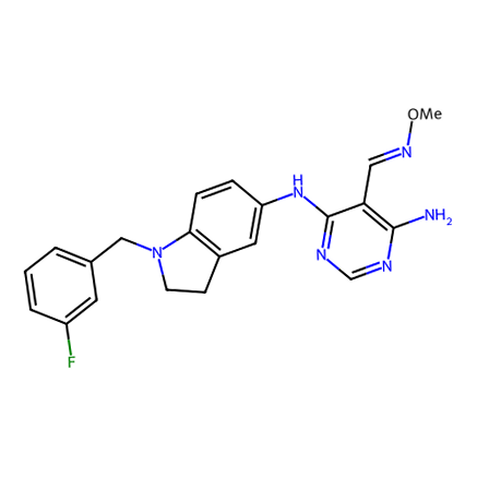 CON=Cc1c(N)ncnc1Nc1ccc2c(c1)CCN2Cc1cccc(F)c1